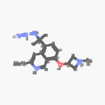 CNc1cc2c(C(C)(C)N=[N+]=[N-])ccc(OC3CN(C(C)=O)C3)c2cn1